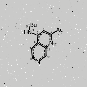 CC(=O)c1cc(NC(C)(C)C)c2ccncc2n1